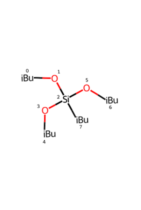 CCC(C)O[Si](OC(C)CC)(OC(C)CC)C(C)CC